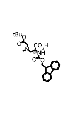 CN(CC(=O)OC(C)(C)C)C[C@H](NC(=O)OCC1c2ccccc2-c2ccccc21)C(=O)O